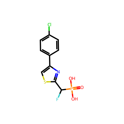 O=P(O)(O)C(F)c1nc(-c2ccc(Cl)cc2)cs1